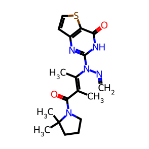 C=NN(/C(C)=C(\C)C(=O)N1CCCC1(C)C)c1nc2ccsc2c(=O)[nH]1